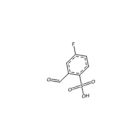 O=Cc1cc(F)ccc1S(=O)(=O)O